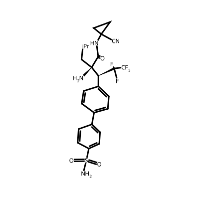 CC(C)C[C@](N)(C(=O)NC1(C#N)CC1)[C@H](c1ccc(-c2ccc(S(N)(=O)=O)cc2)cc1)C(F)(F)C(F)(F)F